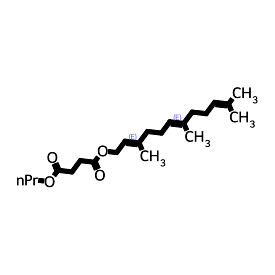 CCCOC(=O)CCC(=O)OC/C=C(\C)CC/C=C(\C)CCC=C(C)C